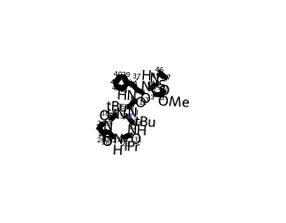 COC(=O)C[C@@H](NC(=O)C(NC(=O)C(/N=C1\NCC(=O)N2CC[C@@H](C)[C@H]2C(=O)N[C@@H](C(C)C)C(=O)NC1C(C)(C)C)C(C)(C)C)[C@@H](C)c1ccccc1)c1nccs1